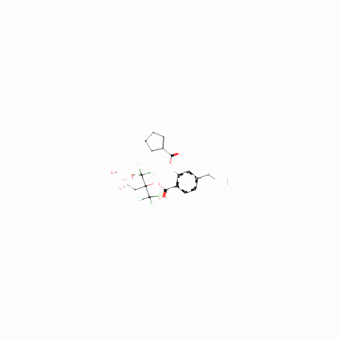 BCc1ccc(C(=O)OC(CS(=O)(=O)O)(C(F)(F)F)C(F)(F)F)c(OC(=O)C2CCCC2)c1